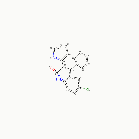 O=c1[nH]c2ccc(Cl)cc2c(-c2ccccc2)c1-c1ccccn1